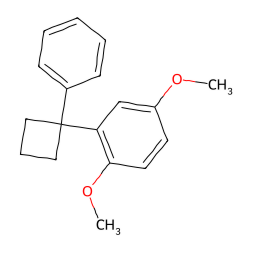 COc1ccc(OC)c(C2(c3ccccc3)CCC2)c1